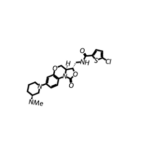 CN[C@H]1CCCN(c2ccc3c(c2)OC[C@H]2[C@H](CNC(=O)c4ccc(Cl)s4)OC(=O)N32)C1